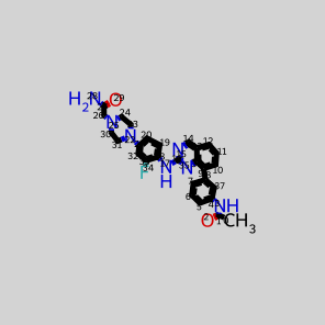 CC(=O)Nc1cccc(-c2cccc3cnc(Nc4ccc(N5CCN(CC(N)=O)CC5)cc4F)nc23)c1